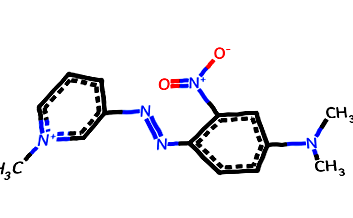 CN(C)c1ccc(N=Nc2ccc[n+](C)c2)c([N+](=O)[O-])c1